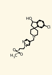 CS(=O)(=O)CCn1cc(CN2CCC3(CC2)CC(O)c2ccc(Cl)cc23)cn1